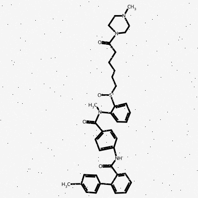 Cc1ccc(-c2ccccc2C(=O)Nc2ccc(C(=O)N(C)c3ccccc3[S+]([O-])CCCCCC(=O)N3CCN(C)CC3)cc2)cc1